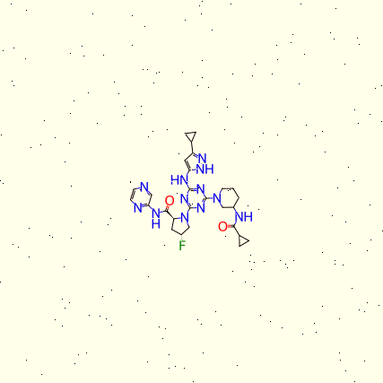 O=C(NC1CCCN(c2nc(Nc3cc(C4CC4)n[nH]3)nc(N3C[C@H](F)C[C@H]3C(=O)Nc3cnccn3)n2)C1)C1CC1